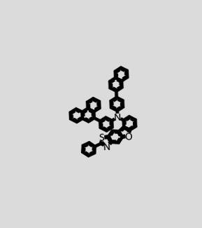 c1ccc(-c2nc3cc4oc5cccc(N(c6ccc(-c7ccc8ccccc8c7)cc6)c6cccc(-c7cc8ccccc8c8ccccc78)c6)c5c4cc3s2)cc1